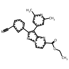 CCOC(=O)c1ccn2nc(-c3cccc(C#N)c3)c(-c3cc(C)nc(C)c3)c2n1